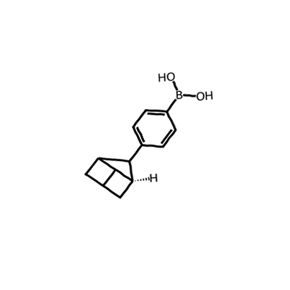 OB(O)c1ccc(C2C3CC4C[C@H]2C43)cc1